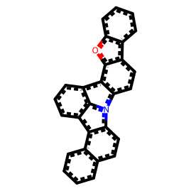 c1ccc2c(c1)ccc1c2c2cccc3c4c5oc6ccccc6c5ccc4n1c23